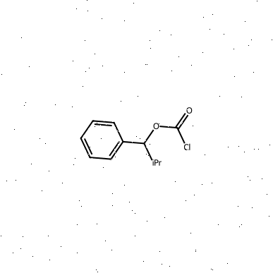 CC(C)C(OC(=O)Cl)c1ccccc1